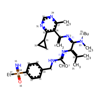 C=C(/N=C(\C(/N=C(\C=O)NCc1ccc(S(=N)(=O)CC)cc1)=C(C)C)N(C)[C@@H](C)CC)c1c(C)ncnc1C1CC1